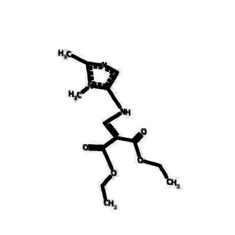 CCOC(=O)C(=CNc1cnc(C)n1C)C(=O)OCC